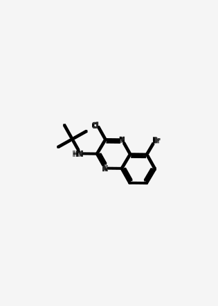 CC(C)(C)Nc1nc2cccc(Br)c2nc1Cl